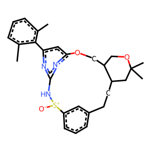 Cc1cccc(C)c1-c1cc2nc(n1)N[S+]([O-])c1cccc(c1)CCC1CC(C)(C)OCC1CO2